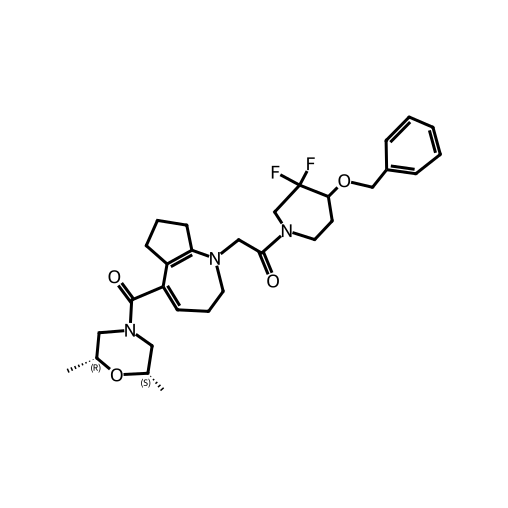 C[C@@H]1CN(C(=O)C2=CCCN(CC(=O)N3CCC(OCc4ccccc4)C(F)(F)C3)C3=C2CCC3)C[C@H](C)O1